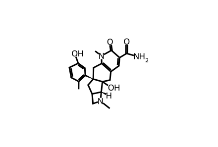 Cc1ccc(O)cc1[C@@]12Cc3c(cc(C(N)=O)c(=O)n3C)CC1(O)[C@H]1C(CN1C)C2